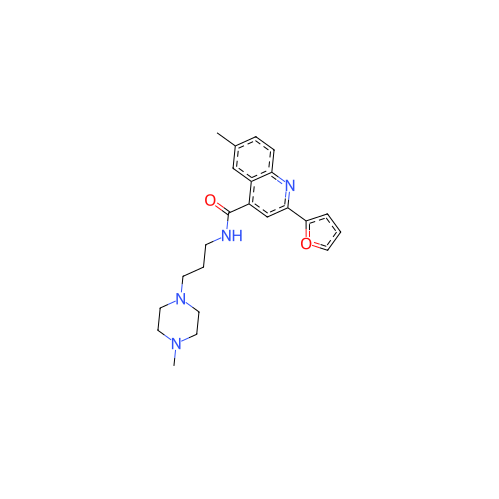 Cc1ccc2nc(-c3ccco3)cc(C(=O)NCCCN3CCN(C)CC3)c2c1